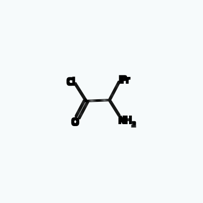 CC(C)C(N)C(=O)Cl